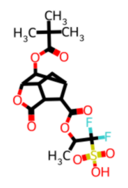 CC(OC(=O)C1C2CC3C(OC(=O)C31)C2OC(=O)C(C)(C)C)C(F)(F)S(=O)(=O)O